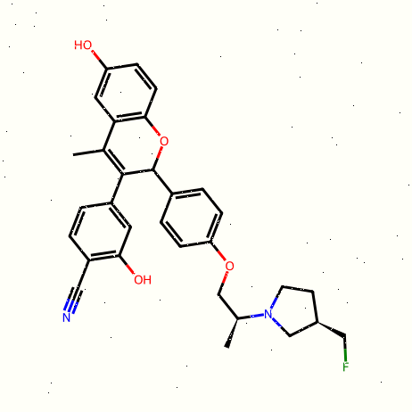 CC1=C(c2ccc(C#N)c(O)c2)C(c2ccc(OC[C@H](C)N3CC[C@@H](CF)C3)cc2)Oc2ccc(O)cc21